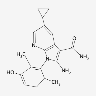 CC1=C(n2c(N)c(C(N)=O)c3cc(C4CC4)cnc32)C(C)CC=C1O